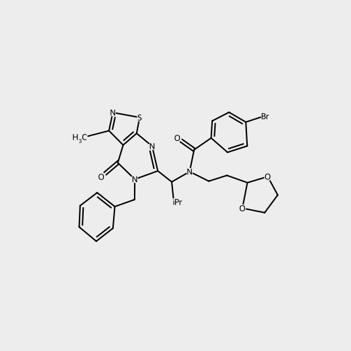 Cc1nsc2nc(C(C(C)C)N(CCC3OCCO3)C(=O)c3ccc(Br)cc3)n(Cc3ccccc3)c(=O)c12